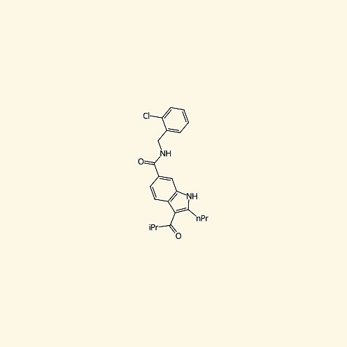 CCCc1[nH]c2cc(C(=O)NCc3ccccc3Cl)ccc2c1C(=O)C(C)C